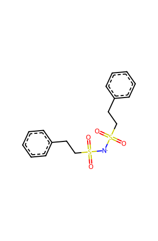 O=S(=O)(CCc1ccccc1)[N]S(=O)(=O)CCc1ccccc1